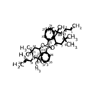 C=CCN1C(C)(C)CC(O[Si](OC2CC(C)(C)N(CC=C)C(C)(C)C2)(c2ccccc2)c2ccccc2)CC1(C)C